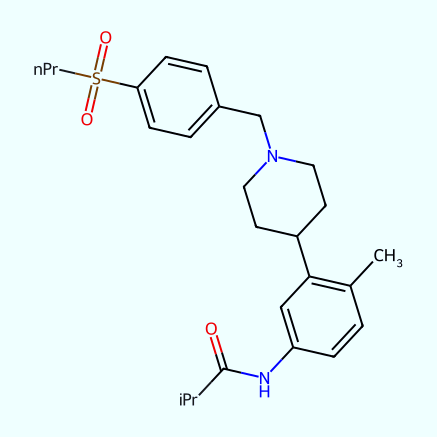 CCCS(=O)(=O)c1ccc(CN2CCC(c3cc(NC(=O)C(C)C)ccc3C)CC2)cc1